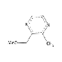 COCc1nccnc1C